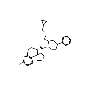 O=C([C@@H]1CNC[C@]12CCCc1nc(Cl)ccc12)N1CCC(c2ccccc2)CC1COCC1CC1